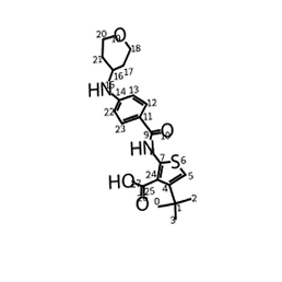 CC(C)(C)c1csc(NC(=O)c2ccc(NC3CCOCC3)cc2)c1C(=O)O